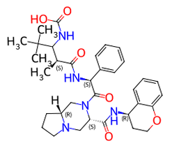 C[C@H](C(=O)N[C@H](C(=O)N1C[C@H]2CCCN2C[C@H]1C(=O)N[C@@H]1CCOc2ccccc21)c1ccccc1)C(NC(=O)O)C(C)(C)C